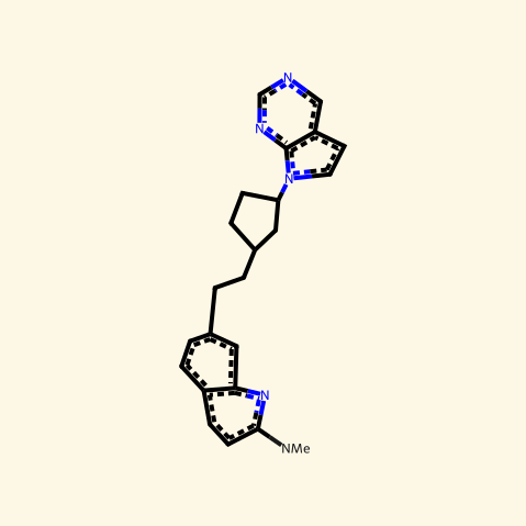 CNc1ccc2ccc(CCC3CCC(n4ccc5cncnc54)C3)cc2n1